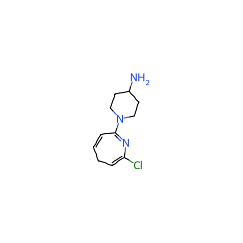 NC1CCN(C2=NC(Cl)=CCC=C2)CC1